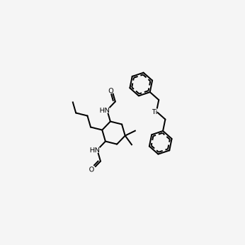 CCCCC1C(NC=O)CC(C)(C)CC1NC=O.c1ccc([CH2][Ti][CH2]c2ccccc2)cc1